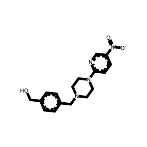 O=[N+]([O-])c1ccc(N2CCN(Cc3ccc(CO)cc3)CC2)nc1